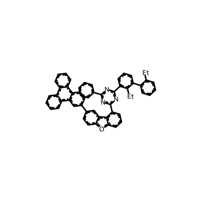 CCc1ccccc1-c1cccc(-c2nc(-c3ccccc3)nc(-c3cccc4oc5ccc(-c6ccc7c8ccccc8c8ccccc8c7c6)cc5c34)n2)c1CC